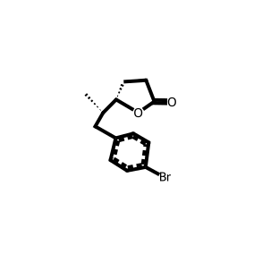 C[C@@H](Cc1ccc(Br)cc1)[C@@H]1CCC(=O)O1